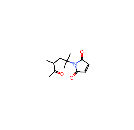 CC(=O)C(C)CC(C)(C)N1C(=O)C=CC1=O